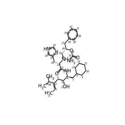 CC=C(C[C@H](O)[C@H](CC1CCCCC1)NC(=O)[C@H](Cc1c[nH]cn1)NC[C@H](Cc1ccccc1)OC(N)=O)C(C)C